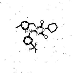 Cc1ccc(Cn2c(Nc3cccc(C(F)(F)F)c3)nc(=O)n(C3CCCCC3)c2=O)cc1